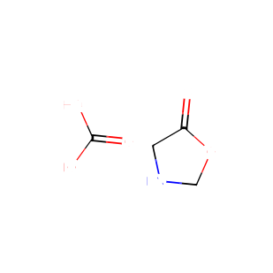 O=C(O)O.O=C1CNCO1